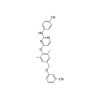 Cc1cc(COc2cccc(C#N)c2)cc(C)c1Oc1ccnc(Nc2ccc(C#N)cc2)n1